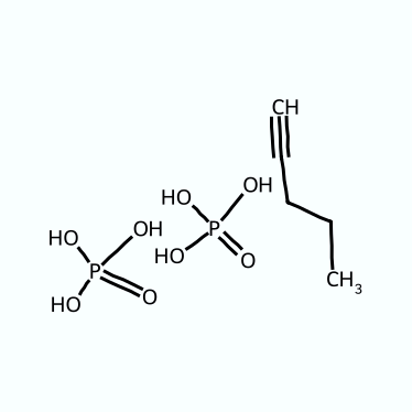 C#CCCC.O=P(O)(O)O.O=P(O)(O)O